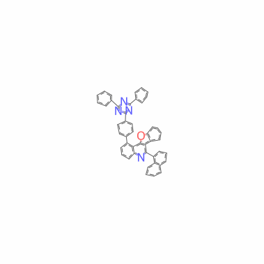 c1ccc(-c2nc(-c3ccccc3)nc(-c3ccc(-c4cccc5nc(-c6cccc7ccccc67)c6c7ccccc7oc6c45)cc3)n2)cc1